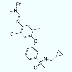 CCN(C)C=Nc1cc(C)c(Oc2cccc(S(C)(=O)=NCC3CC3)c2)cc1Cl